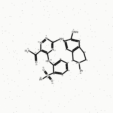 COc1cc2c(cc1Nc1nnc(C(N)=O)c(Nc3ccccc3S(=O)(=O)C(C)C)n1)CN(C(C)C)CC2